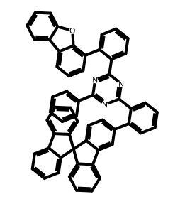 c1ccc(-c2nc(-c3ccccc3-c3ccc4c(c3)-c3ccccc3C43c4ccccc4-c4ccccc43)nc(-c3ccccc3-c3cccc4c3oc3ccccc34)n2)cc1